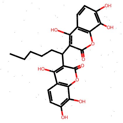 CCCCCC(c1c(O)c2ccc(O)c(O)c2oc1=O)c1c(O)c2ccc(O)c(O)c2oc1=O